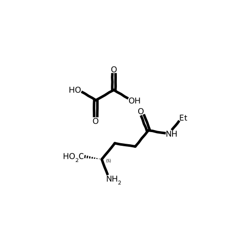 CCNC(=O)CC[C@H](N)C(=O)O.O=C(O)C(=O)O